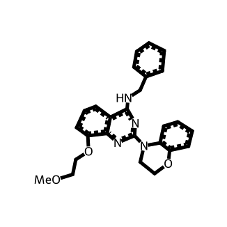 COCCOc1cccc2c(NCc3ccccc3)nc(N3CCOc4ccccc43)nc12